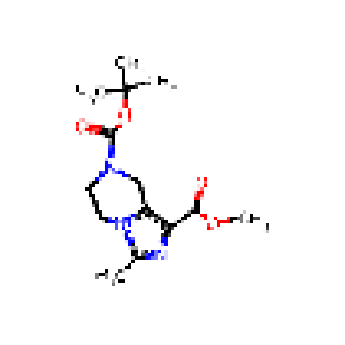 COC(=O)c1nc(C)n2c1CN(C(=O)OC(C)(C)C)CC2